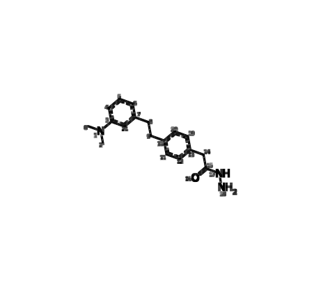 CN(C)c1cccc(CCc2ccc(CC(=O)NN)cc2)c1